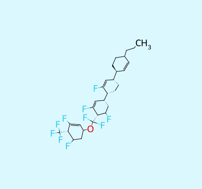 CCCC1C=C[C@@H]([C@H]2C=C(F)[C@@H]([C@H]3C=C(F)[C@@H](C(F)(F)OC4C=C(F)[C@@H](C(F)(F)F)C(F)C4)C(F)C3)CC2)CC1